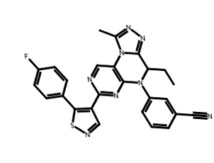 CCC1c2nnc(C)n2-c2cnc(-c3cnsc3-c3ccc(F)cc3)nc2N1c1cccc(C#N)c1